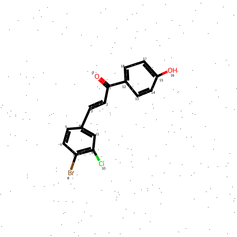 O=C(C=Cc1ccc(Br)c(Cl)c1)c1ccc(O)cc1